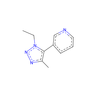 CCn1nnc(C)c1-c1cccnc1